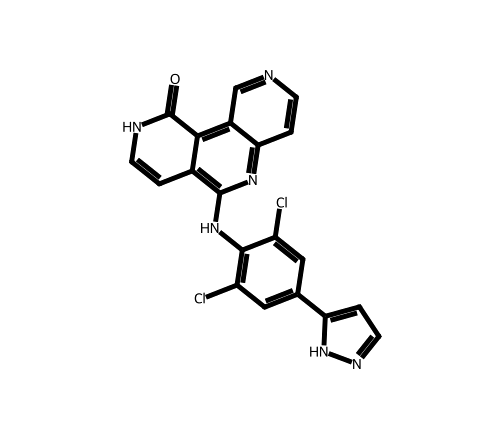 O=c1[nH]ccc2c(Nc3c(Cl)cc(-c4ccn[nH]4)cc3Cl)nc3ccncc3c12